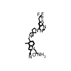 Cc1c(CN2CC3(CCN(c4ncnc5sc(CC(F)(F)F)cc45)C3)C2)ccc2c1cc(C#N)n2CC(N)=O